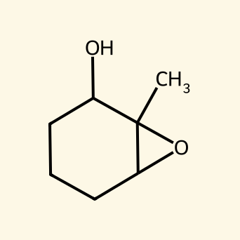 CC12OC1CCCC2O